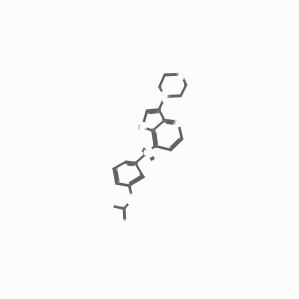 O=S(=O)(c1cccc(OC(F)F)c1)c1ccnc2c(N3CCNCC3)c[nH]c12